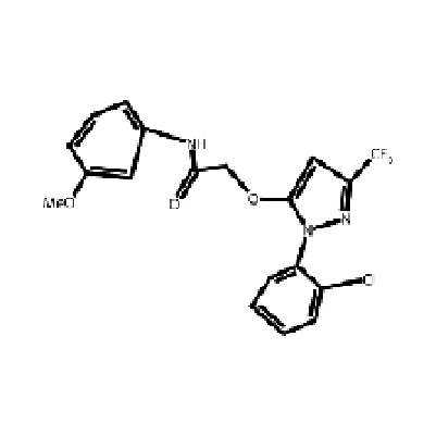 COc1cccc(NC(=O)COc2cc(C(F)(F)F)nn2-c2ccccc2Cl)c1